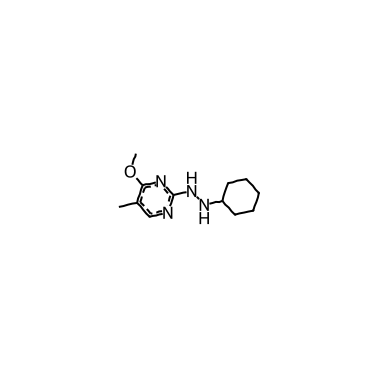 COc1nc(NNC2CCCCC2)ncc1C